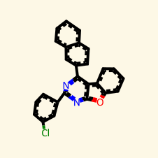 Clc1cccc(-c2nc(-c3ccc4ccccc4c3)c3c(n2)oc2ccccc23)c1